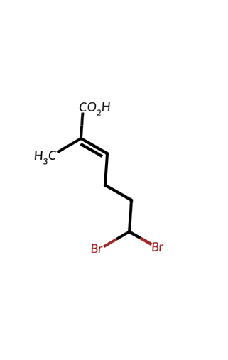 CC(=CCCC(Br)Br)C(=O)O